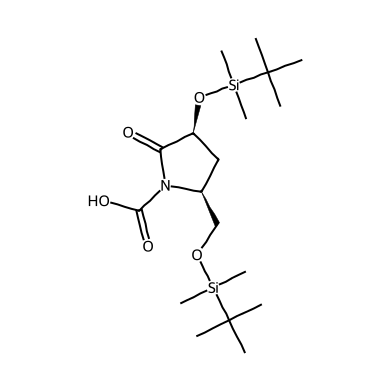 CC(C)(C)[Si](C)(C)OC[C@@H]1C[C@H](O[Si](C)(C)C(C)(C)C)C(=O)N1C(=O)O